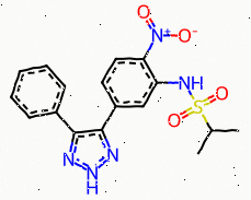 CC(C)S(=O)(=O)Nc1cc(-c2n[nH]nc2-c2ccccc2)ccc1[N+](=O)[O-]